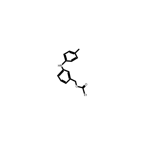 CCC(=O)OCc1cccc(Nc2ccc(C)cc2)c1